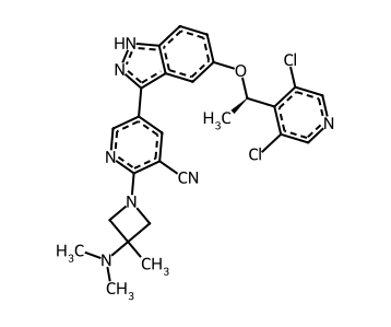 C[C@@H](Oc1ccc2[nH]nc(-c3cnc(N4CC(C)(N(C)C)C4)c(C#N)c3)c2c1)c1c(Cl)cncc1Cl